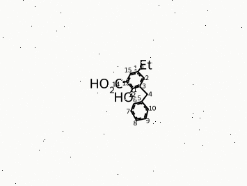 CCc1cc(Cc2ccccc2)c(O)c(C(=O)O)c1